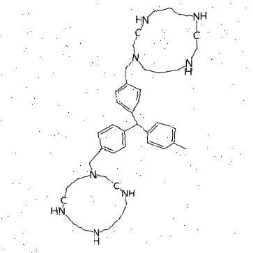 Cc1ccc(C(c2ccc(CN3CCCNCCNCCCNCC3)cc2)c2ccc(CN3CCCNCCNCCCNCC3)cc2)cc1